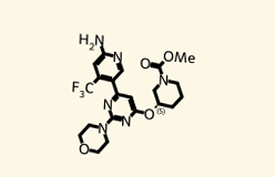 COC(=O)N1CCC[C@H](Oc2cc(-c3cnc(N)cc3C(F)(F)F)nc(N3CCOCC3)n2)C1